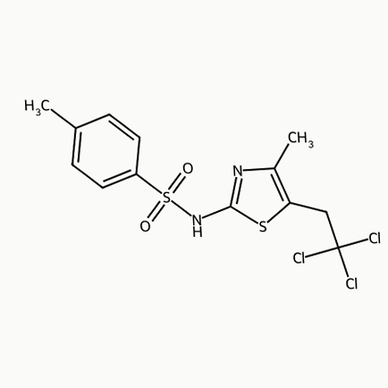 Cc1ccc(S(=O)(=O)Nc2nc(C)c(CC(Cl)(Cl)Cl)s2)cc1